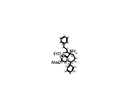 CCOC(=O)C(CCc1ccccc1)C1(N)CCCC(c2ccccc2)N(CC(=O)OC)C1=O